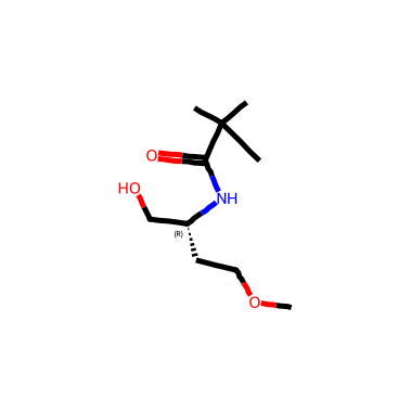 COCC[C@H](CO)NC(=O)C(C)(C)C